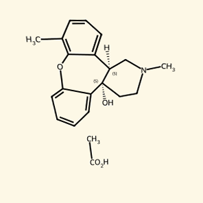 CC(=O)O.Cc1cccc2c1Oc1ccccc1[C@]1(O)CCN(C)C[C@H]21